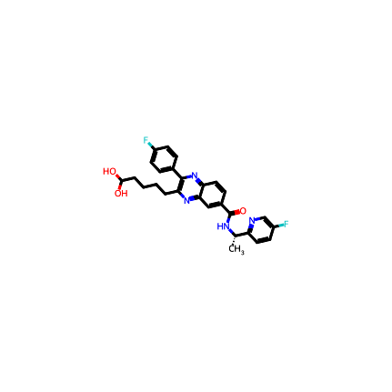 C[C@H](NC(=O)c1ccc2nc(-c3ccc(F)cc3)c(CCCCC(O)O)nc2c1)c1ccc(F)cn1